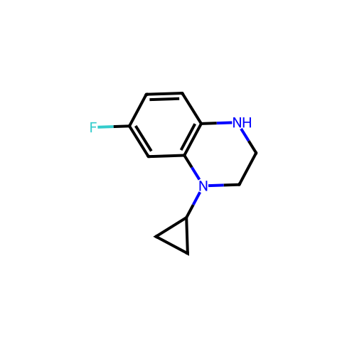 Fc1ccc2c(c1)N(C1CC1)CCN2